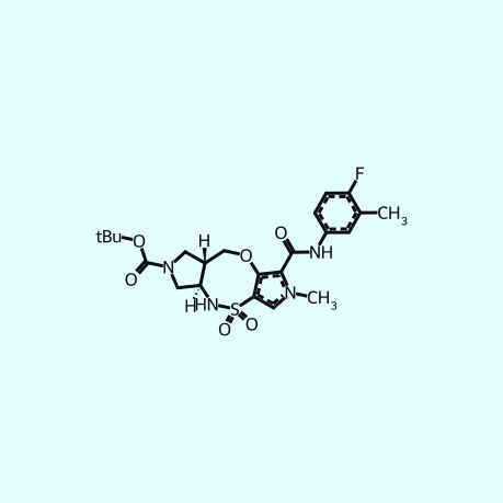 Cc1cc(NC(=O)c2c3c(cn2C)S(=O)(=O)N[C@H]2CN(C(=O)OC(C)(C)C)C[C@@H]2CO3)ccc1F